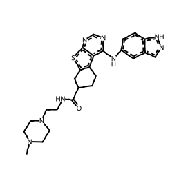 CN1CCN(CCNC(=O)C2CCc3c(sc4ncnc(Nc5ccc6[nH]ncc6c5)c34)C2)CC1